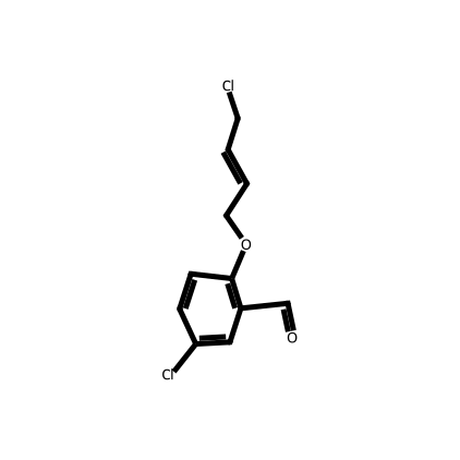 O=Cc1cc(Cl)ccc1OCC=CCCl